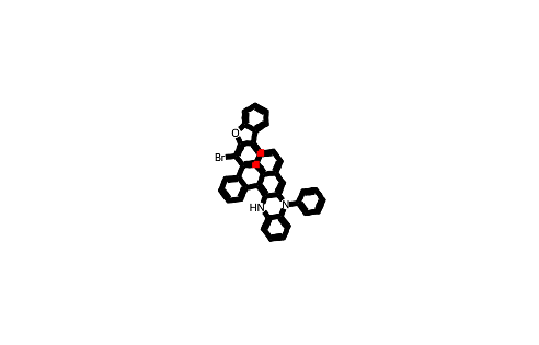 Brc1c(-c2ccccc2-c2c3c(cc4ccccc24)N(c2ccccc2)c2ccccc2N3)ccc2c1oc1ccccc12